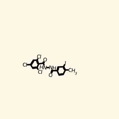 Cc1ccc(C(=O)NNC(=O)c2c(Cl)cc(Cl)cc2Cl)cc1I